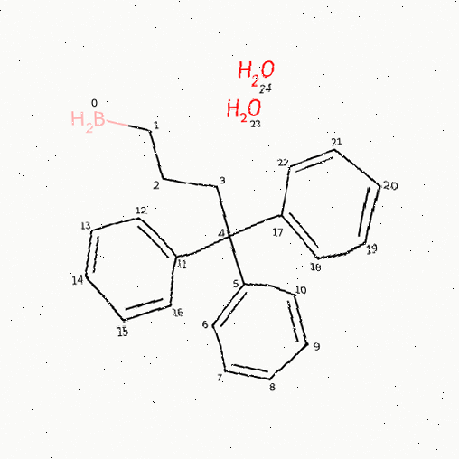 BCCCC(c1ccccc1)(c1ccccc1)c1ccccc1.O.O